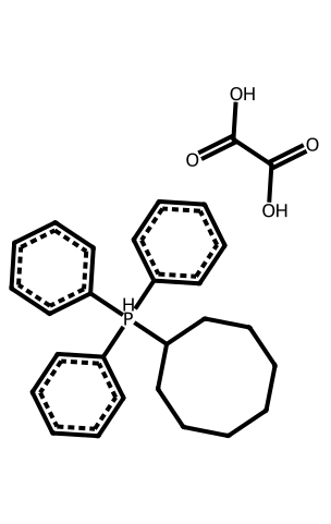 O=C(O)C(=O)O.c1ccc([PH](c2ccccc2)(c2ccccc2)C2CCCCCCC2)cc1